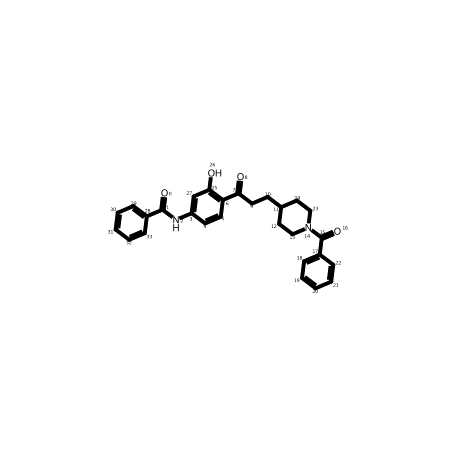 O=C(Nc1ccc(C(=O)CCC2CCN(C(=O)c3ccccc3)CC2)c(O)c1)c1ccccc1